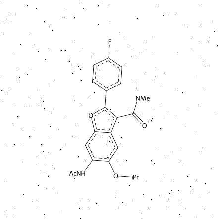 CNC(=O)c1c(-c2ccc(F)cc2)oc2cc(NC(C)=O)c(OC(C)C)cc12